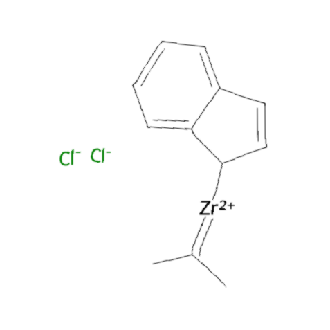 C[C](C)=[Zr+2][CH]1C=Cc2ccccc21.[Cl-].[Cl-]